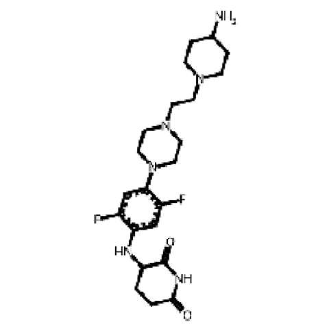 NC1CCN(CCN2CCN(c3cc(F)c(NC4CCC(=O)NC4=O)cc3F)CC2)CC1